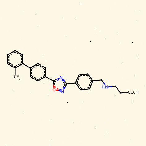 O=C(O)CCNCc1ccc(-c2noc(-c3ccc(-c4ccccc4C(F)(F)F)cc3)n2)cc1